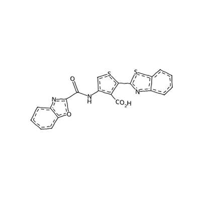 O=C(Nc1csc(-c2nc3ccccc3s2)c1C(=O)O)c1nc2ccccc2o1